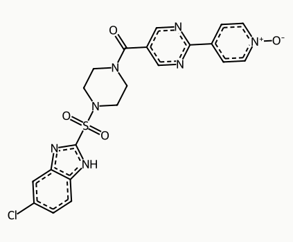 O=C(c1cnc(-c2cc[n+]([O-])cc2)nc1)N1CCN(S(=O)(=O)c2nc3cc(Cl)ccc3[nH]2)CC1